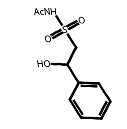 CC(=O)NS(=O)(=O)CC(O)c1ccccc1